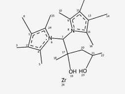 Cc1c(C)c(C)n(C(n2c(C)c(C)c(C)c2C)C(C)(O)CC(C)O)c1C.[Zr]